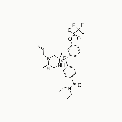 C=CCN1C[C@](C)([C@H](c2ccc(C(=O)N(CC)CC)cc2)c2cccc(OS(=O)(=O)C(F)(F)F)c2)NC[C@H]1C